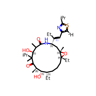 [2H]c1sc(C(C)C)nc1/C=C(\CC)[C@@H]1C[C@]2(C)O[C@]2(CC)CCC[C@H](CC)[C@H](O)[C@@H](C)C(=O)C(C)(C(C)C)[C@@H](O)C(C)C(=O)N1